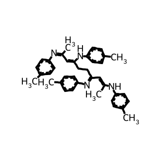 CC(=CC(CCC(=CC(C)=Nc1ccc(C)cc1)Nc1ccc(C)cc1)=Nc1ccc(C)cc1)Nc1ccc(C)cc1